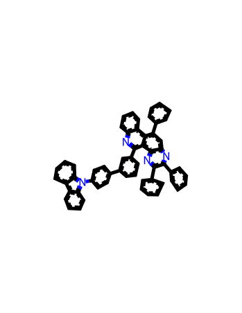 c1ccc(-c2nc3cc(-c4ccccc4)c4c5ccccc5nc(-c5cccc(-c6ccc(-n7c8ccccc8c8ccccc87)cc6)c5)c4c3nc2-c2ccccc2)cc1